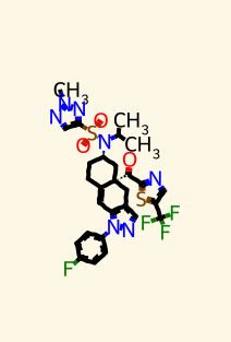 CC(C)N([C@H]1CCC2=Cc3c(cnn3-c3ccc(F)cc3)C[C@]2(C(=O)c2ncc(C(F)(F)F)s2)C1)S(=O)(=O)c1cnn(C)n1